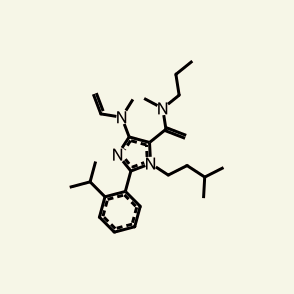 C=CN(C)c1nc(-c2ccccc2C(C)C)n(CCC(C)C)c1C(=C)N(C)CCC